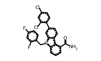 NC(=O)c1cccc2c1c1[c]cc(-c3ccc(Cl)cc3Cl)cc1n2Cc1ccc(F)cc1F